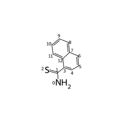 NC(=S)c1cccc2ccccc12